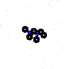 c1ccc(-n2c3ccccc3c3c2ccc2c4ccc5ccccc5c4n(-c4ccccc4)c23)cc1